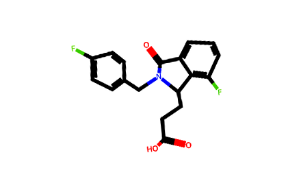 O=C(O)CCC1c2c(F)cccc2C(=O)N1Cc1ccc(F)cc1